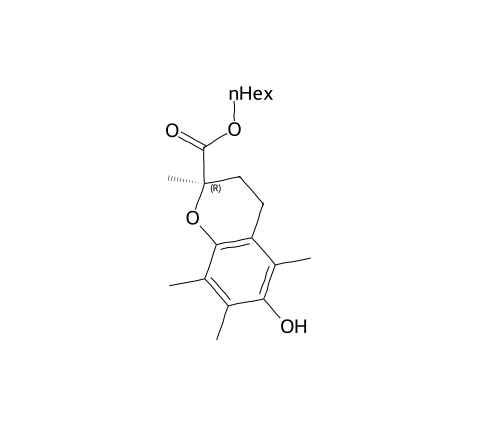 CCCCCCOC(=O)[C@@]1(C)CCc2c(C)c(O)c(C)c(C)c2O1